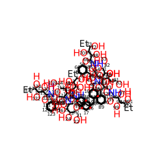 CC[C@@H](O)[C@H](O)[C@H](O)C(=O)NO[C@@]1(Cc2ccccc2)O[C@H](CO)[C@@H](O)[C@H](O)[C@@]1(O)N(C(=O)c1ccc(/C=C\c2ccc(C(=O)N([C@]3(O)[C@@H](O)[C@H](O)[C@@H](CO)O[C@]3(Cc3ccccc3)ONC(=O)[C@@H](O)[C@@H](O)[C@H](O)CC)[C@]3(O)[C@@H](O)[C@H](O)[C@@H](CO)O[C@]3(Cc3ccccc3)ONC(=O)[C@@H](O)[C@@H](O)[C@H](O)CC)cc2)cc1)[C@]1(O)[C@@H](O)[C@H](O)[C@@H](CO)O[C@]1(Cc1ccccc1)ONC(=O)[C@@H](O)[C@@H](O)[C@H](O)CC